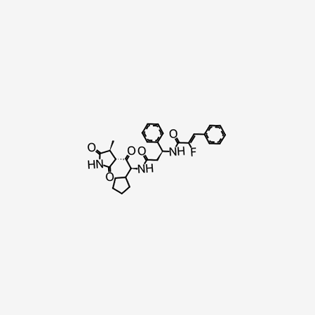 C[C@@H]1C(=O)NC(=O)[C@H]1C(=O)[C@@H](NC(=O)C[C@H](NC(=O)/C(F)=C/c1ccccc1)c1ccccc1)C1CCCC1